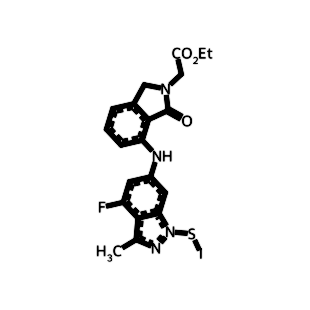 CCOC(=O)CN1Cc2cccc(Nc3cc(F)c4c(C)nn(SI)c4c3)c2C1=O